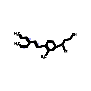 C=C/C=C(\C=C/C)/C=C/c1ccc(N(CC)CCO)cc1C